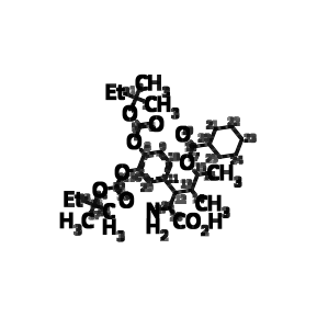 CCC(C)(C)OC(=O)Oc1ccc(C(C(C)C(C)OC(=O)C2CCCCC2)[C@H](N)C(=O)O)cc1OC(=O)OC(C)(C)CC